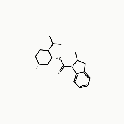 CC(C)[C@@H]1CC[C@@H](C)C[C@H]1OC(=O)N1c2ccccc2C[C@@H]1C